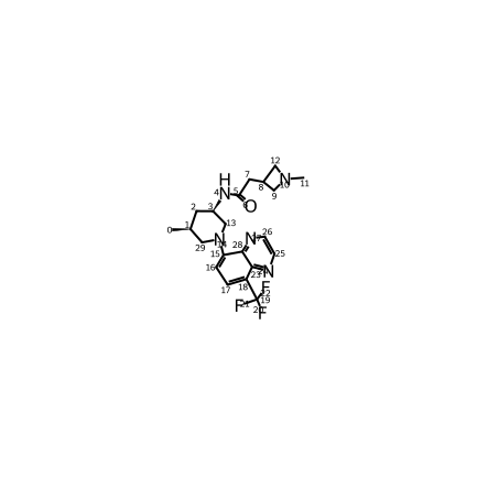 C[C@H]1C[C@@H](NC(=O)CC2CN(C)C2)CN(c2ccc(C(F)(F)F)c3nccnc23)C1